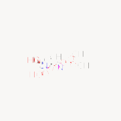 CCOC(COc1cc([C@H](C(=O)N2C[C@H](O)C[C@H]2C(=O)O)C(C)C)on1)OCC